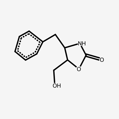 O=C1NC(Cc2ccccc2)C(CO)O1